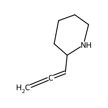 C=C=CC1CCCCN1